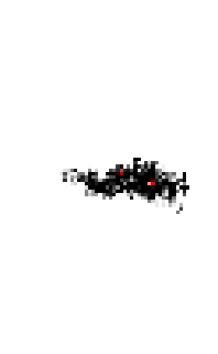 CC[Si](CC)(CC)O[C@H]1[C@H]2O[C@@H]([C@H](O)C(C)C)C[C@@H](C)[C@@H]2[C@@]2(C)CC[C@@]34CC35CC[C@H](O[C@H]3CN(C(=O)OC(C)(C)C)CCO3)C(C)(C)[C@@H]5CC[C@H]4[C@]12C